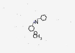 COc1cccc(/C=N/Cc2ccccc2)c1